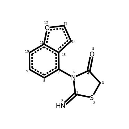 N=C1SCC(=O)N1c1cccc2occc12